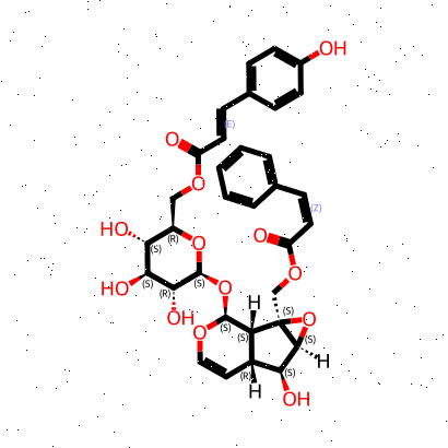 O=C(/C=C\c1ccccc1)OC[C@]12O[C@H]1[C@@H](O)[C@@H]1C=CO[C@@H](O[C@@H]3O[C@H](COC(=O)/C=C/c4ccc(O)cc4)[C@@H](O)[C@H](O)[C@H]3O)[C@@H]12